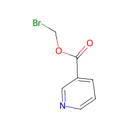 O=C(OCBr)c1cccnc1